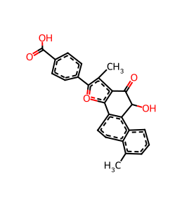 Cc1c(-c2ccc(C(=O)O)cc2)oc2c1C(=O)C(O)c1c-2ccc2c(C)cccc12